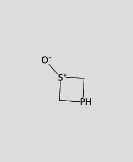 [O-][S+]1CPC1